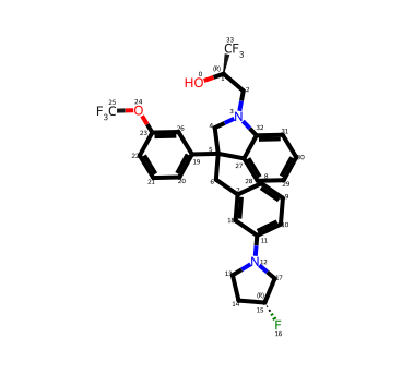 O[C@H](CN1CC(Cc2cccc(N3CC[C@@H](F)C3)c2)(c2cccc(OC(F)(F)F)c2)c2ccccc21)C(F)(F)F